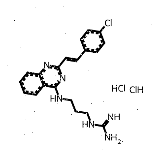 Cl.Cl.N=C(N)NCCCNc1nc(C=Cc2ccc(Cl)cc2)nc2ccccc12